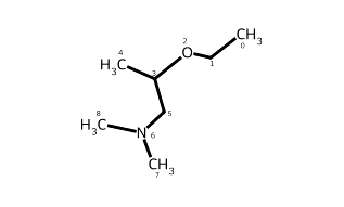 CCOC(C)CN(C)C